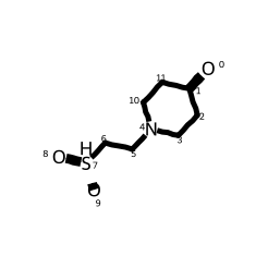 O=C1CCN(CC[SH](=O)=O)CC1